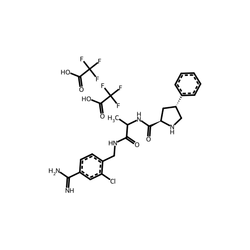 CC(NC(=O)[C@H]1C[C@H](c2ccccc2)CN1)C(=O)NCc1ccc(C(=N)N)cc1Cl.O=C(O)C(F)(F)F.O=C(O)C(F)(F)F